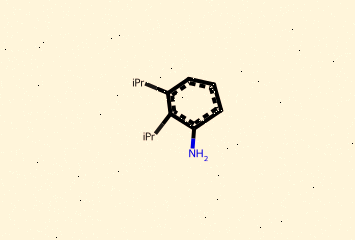 CC(C)c1cccc(N)c1C(C)C